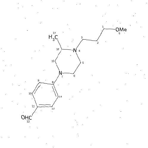 COCCCN1CCN(c2ccc(C=O)cc2)CC1C